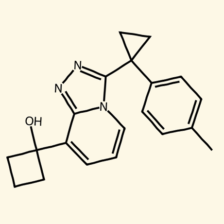 Cc1ccc(C2(c3nnc4c(C5(O)CCC5)cccn34)CC2)cc1